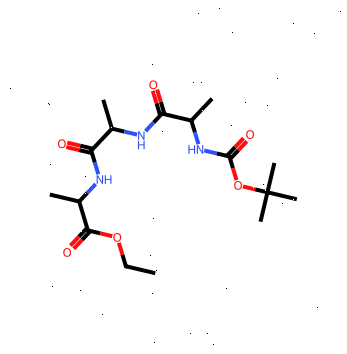 CCOC(=O)C(C)NC(=O)C(C)NC(=O)C(C)NC(=O)OC(C)(C)C